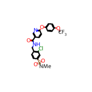 CNS(=O)(=O)c1ccc(CNC(=O)c2ccc(Oc3ccc(OC(F)(F)F)cc3)nc2)c(Cl)c1